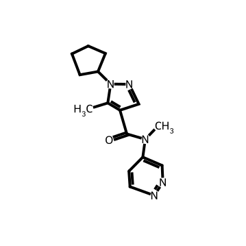 Cc1c(C(=O)N(C)c2ccnnc2)cnn1C1CCCC1